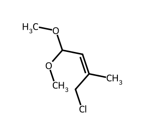 COC(C=C(C)CCl)OC